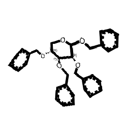 c1ccc(COC2OC[C@@H](OCc3ccccc3)[C@H](OCc3ccccc3)[C@H]2OCc2ccccc2)cc1